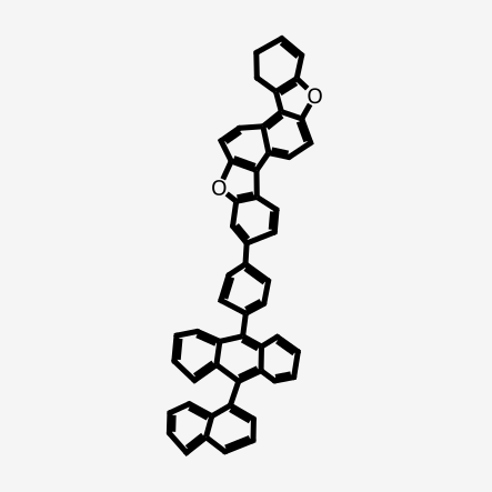 C1=Cc2oc3ccc4c(ccc5oc6cc(-c7ccc(-c8c9ccccc9c(-c9cccc%10ccccc9%10)c9ccccc89)cc7)ccc6c54)c3c2CC1